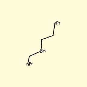 CCCCBCCCCC